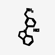 Cl.NCc1cccc(N2CCc3ccccc32)c1